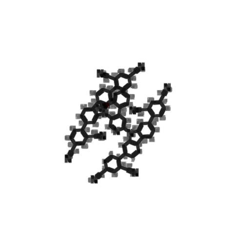 N#Cc1ccc(-c2ccc3c4ccc(-c5ccc(C#N)cc5C#N)cc4n(-c4cc(-c5ccccc5C#N)c(-n5c6cc(-c7ccc(C#N)cc7C#N)ccc6c6ccc(-c7ccc(C#N)cc7C#N)cc65)cn4)c3c2)c(C#N)c1